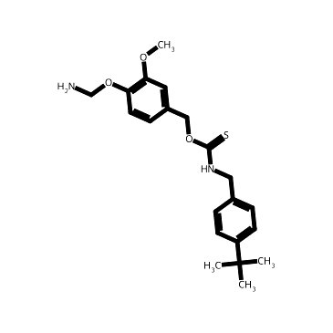 COc1cc(COC(=S)NCc2ccc(C(C)(C)C)cc2)ccc1OCN